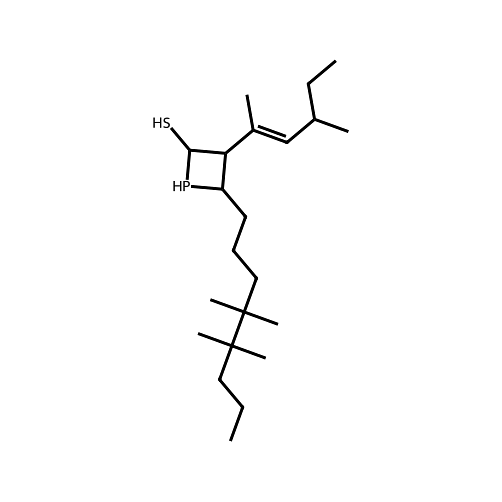 CCCC(C)(C)C(C)(C)CCCC1PC(S)C1/C(C)=C/C(C)CC